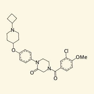 COc1ccc(C(=O)N2CCN(c3ccc(OC4CCN(C5CCC5)CC4)cc3)C(=O)C2)cc1Cl